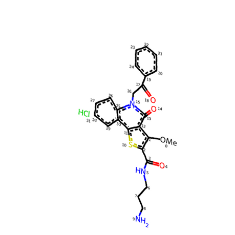 COc1c(C(=O)NCCCN)sc2c1c(=O)n(CC(=O)c1ccccc1)c1ccccc21.Cl